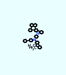 CC1(C)c2ccccc2-c2ccc(N(c3ccc(-c4ccccc4)cc3)c3ccc(-n4c5ccccc5c5cc6c(cc54)-c4ccccc4-c4cccc5cccc-6c45)cc3)cc21